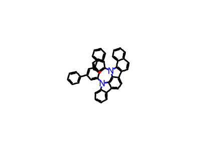 c1ccc(-c2cc(-c3ccccc3)cc(-n3c4ccccc4c4ccc5c6ccc7ccccc7c6n(-c6ccccc6)c5c43)c2)cc1